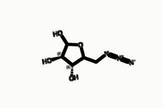 [N-]=[N+]=NCC1OC(O)[C@H](O)[C@H]1O